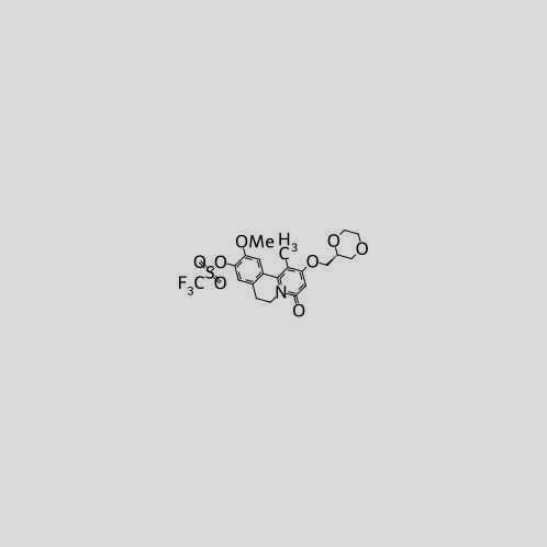 COc1cc2c(cc1OS(=O)(=O)C(F)(F)F)CCn1c-2c(C)c(OC[C@@H]2COCCO2)cc1=O